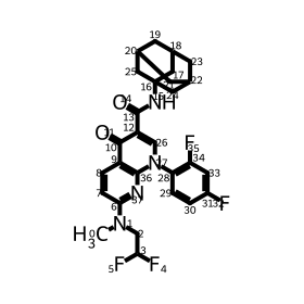 CN(CC(F)F)c1ccc2c(=O)c(C(=O)NC34CC5CC(CC(C5)C3)C4)cn(-c3ccc(F)cc3F)c2n1